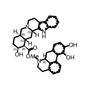 CN1CCc2cccc3c2[C@H]1Cc1ccc(O)c(O)c1-3.COC(=O)[C@@H]1[C@H]2C[C@H]3c4[nH]c5ccccc5c4CCN3C[C@@H]2CC[C@@H]1O